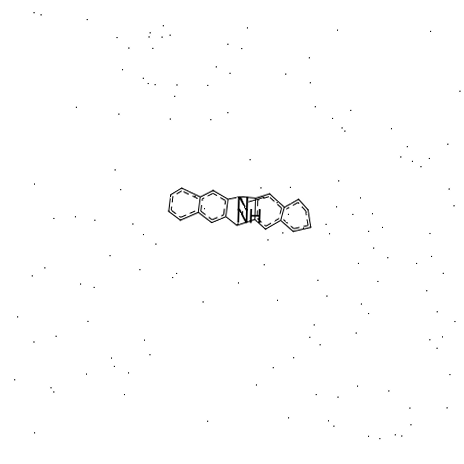 CN1NC2c3cc4ccccc4cc3C1c1cc3ccccc3cc12